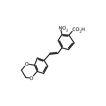 O=C(O)c1ccc(/C=C/c2ccc3c(c2)OCCO3)cc1[N+](=O)[O-]